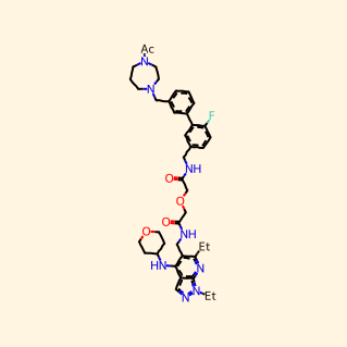 CCc1nc2c(cnn2CC)c(NC2CCOCC2)c1CNC(=O)COCC(=O)NCc1ccc(F)c(-c2cccc(CN3CCCN(C(C)=O)CC3)c2)c1